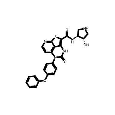 O=C(N[C@H]1CNC[C@@H]1O)c1sc2nccc3c2c1NC(=O)N3c1ccc(Oc2ccccc2)cc1